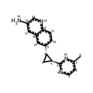 Cc1ccnc([C@H]2C[C@@H]2c2ccc3ncc(N)cc3c2)n1